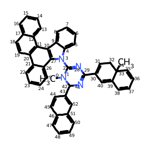 CN1C(n2c3ccccc3c3c4c5ccccc5ccc4c4ccccc4c32)=NC(C2=CCC3(C)C=CC=CC3=C2)=NC1c1ccc2ccccc2c1